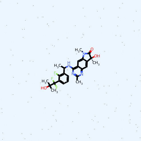 Cc1nc(NC(C)c2cccc(C(F)(F)C(C)(C)O)c2F)c2cc3c(cc2n1)[C@](C)(O)C(=O)N3C